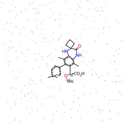 Cc1ccc(-c2c(C)c3c(c(C)c2[C@H](OC(C)(C)C)C(=O)O)NC(=O)C2(CCC2)N3)cc1